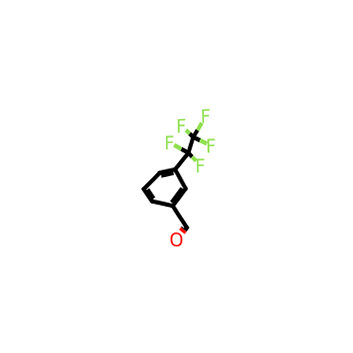 O=Cc1cccc(C(F)(F)C(F)(F)F)c1